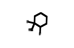 [NH]C1(F)CCCCC1F